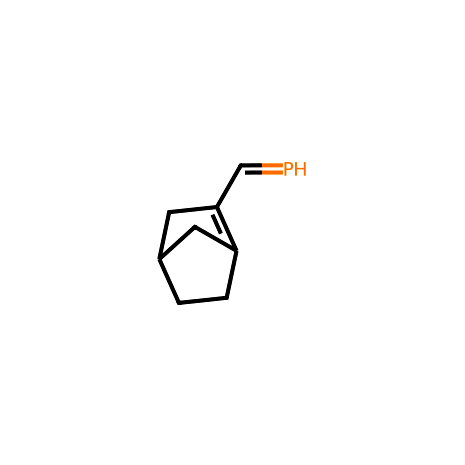 P=CC1=C2CCC(C1)C2